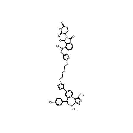 Cc1nnc2n1-c1ccc(-c3cnn(CCCCCCn4cc(CN(C)c5cccc6c5C(=O)N(C5CCC(=O)NC5=O)C6=O)nn4)c3)cc1C(c1ccc(Cl)cc1)=N[C@H]2C